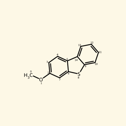 COc1ccc2c(c1)sc1ccccc12